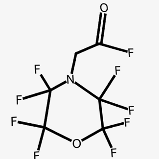 O=C(F)CN1C(F)(F)C(F)(F)OC(F)(F)C1(F)F